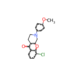 COc1ccc(N2CCc3c(oc4c(Cl)cccc4c3=O)C2)cc1